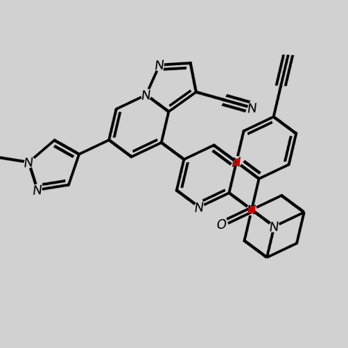 C#Cc1ccc(C(=O)N2C3CC2CN(c2ccc(-c4cc(-c5cnn(C)c5)cn5ncc(C#N)c45)cn2)C3)nc1